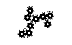 C1=CC(c2ccc(N(c3ccc(-c4ccc5c6ccccc6n(-c6ccccc6)c5c4)cc3)c3cccc4c3oc3ccccc34)cc2)C2Oc3ccccc3C2=C1